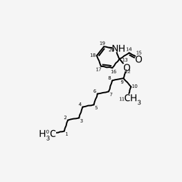 CCCCCCCCCC(CC)OC1(C=O)C=CC=CN1